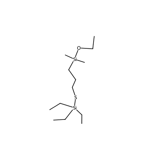 CCO[Si](C)(C)CCCS[Si](CC)(CC)CC